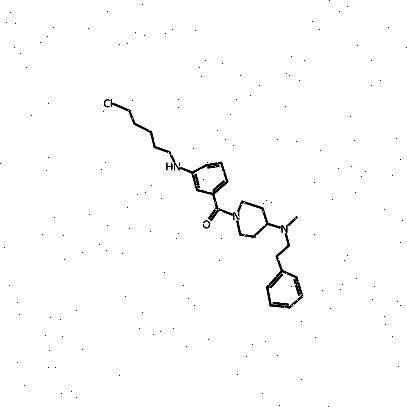 CN(CCc1ccccc1)C1CCN(C(=O)c2cccc(NCCCCCCl)c2)CC1